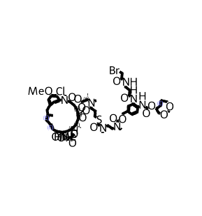 COc1cc2cc(c1Cl)N(C)C(=O)C[C@H](OC(=O)[C@H](C)N(C)C(=O)CCSC(=O)N(C)CCN(C)C(=O)OCc1ccc(NC(=O)OC3/C=C/COCOC3)c(NC(=O)CCNC(=O)CBr)c1)[C@]1(C)OC1[C@H](C)[C@@H]1C[C@@](O)(NC(=O)O1)[C@H](OC)/C=C/C=C(\C)C2